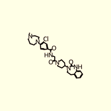 CN1CCCN(c2ccc(C(=O)NCC(=O)N3CCC(N4CCc5ccccc5NC4=O)CC3)cc2Cl)CC1